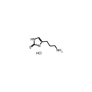 Cl.NCCCC1=CNC(=S)[N]1